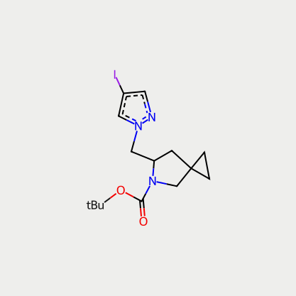 CC(C)(C)OC(=O)N1CC2(CC2)CC1Cn1cc(I)cn1